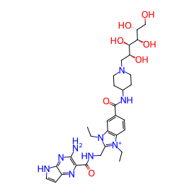 CCn1c(CNC(=O)c2nc3cc[nH]c3nc2N)[n+](CC)c2ccc(C(=O)NC3CCN(C[C@H](O)[C@@H](O)[C@H](O)[C@H](O)CO)CC3)cc21